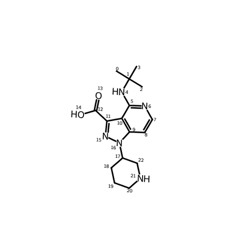 CC(C)(C)Nc1nccc2c1c(C(=O)O)nn2C1CCCNC1